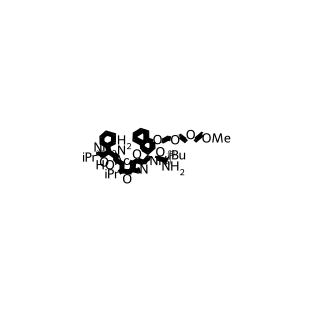 CC[C@H](C)[C@H](N)C(=O)NCc1ncc(C(=O)C(CC(O)C(N)C(C(=O)[C@@H](N)C(C)C)C2CCCCC2)C(C)C)c(C(C)=O)c1Oc1ccc(OCCOCCOCCOC)c2ccccc12